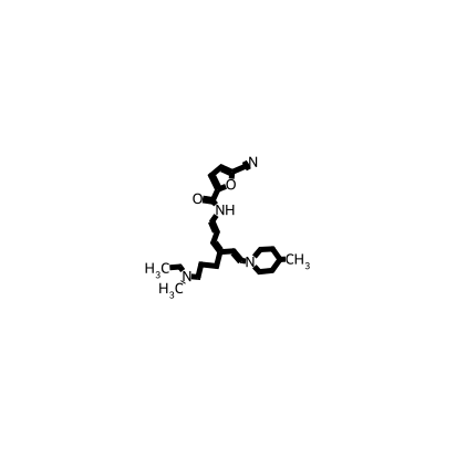 CCN(C)CCCC(=C/C=C/NC(=O)c1ccc(C#N)o1)/C=C/N1CCC(C)CC1